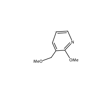 COCc1c[c]cnc1OC